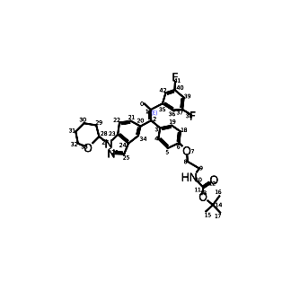 C/C(=C(/c1ccc(OCCNC(=O)OC(C)(C)C)cc1)c1ccc2c(cnn2C2CCCCO2)c1)c1cc(F)cc(F)c1